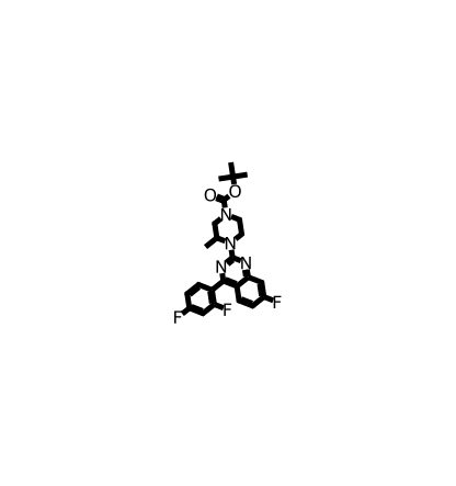 CC1CN(C(=O)OC(C)(C)C)CCN1c1nc(-c2ccc(F)cc2F)c2ccc(F)cc2n1